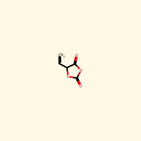 C=CC1OC(=O)OC1=O